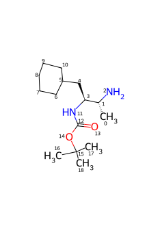 C[C@@H](N)[C@H](CC1CCCCC1)NC(=O)OC(C)(C)C